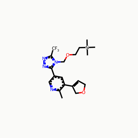 Cc1ncc(-c2nnc(C(F)(F)F)n2COCC[Si](C)(C)C)cc1C1=CCOC1